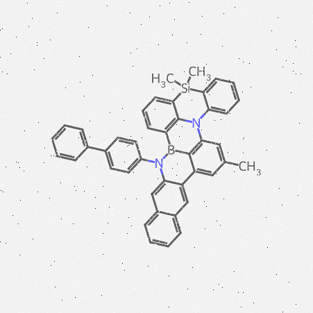 Cc1cc2c3c(c1)N1c4ccccc4[Si](C)(C)c4cccc(c41)B3N(c1ccc(-c3ccccc3)cc1)c1cc3ccccc3cc1-2